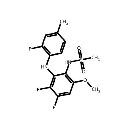 COc1cc(F)c(F)c(Nc2ccc(C)cc2F)c1NS(C)(=O)=O